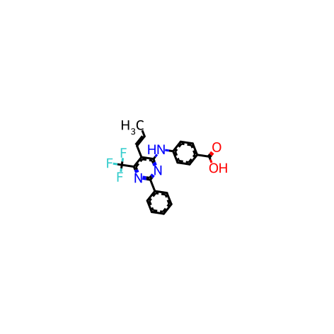 CC=Cc1c(Nc2ccc(C(=O)O)cc2)nc(-c2ccccc2)nc1C(F)(F)F